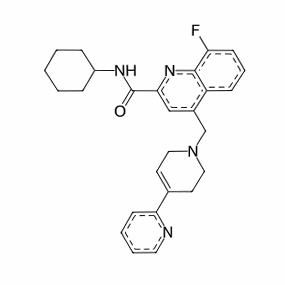 O=C(NC1CCCCC1)c1cc(CN2CC=C(c3ccccn3)CC2)c2cccc(F)c2n1